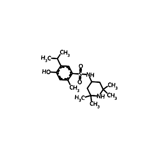 Cc1cc(O)c(C(C)C)cc1S(=O)(=O)NC1CC(C)(C)NC(C)(C)C1